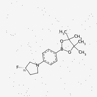 CC1(C)OB(c2ccc(N3CC[C@H](F)C3)cc2)OC1(C)C